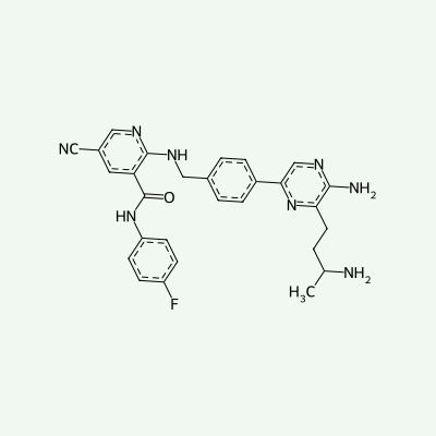 CC(N)CCc1nc(-c2ccc(CNc3ncc(C#N)cc3C(=O)Nc3ccc(F)cc3)cc2)cnc1N